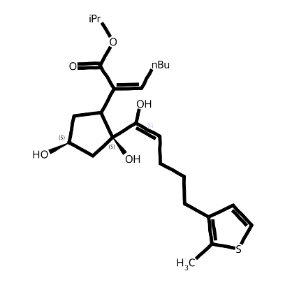 CCCCC=C(C(=O)OC(C)C)C1C[C@H](O)C[C@@]1(O)/C(O)=C\CCCc1ccsc1C